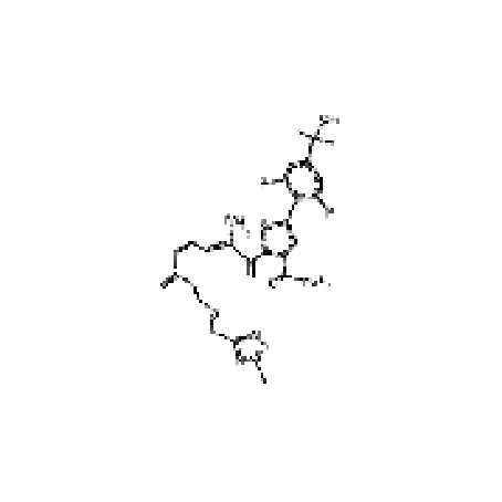 C=C(/C=C\C=C(/N)Nc1sc(-c2c(F)cc(C(C)(C)O)cc2F)cc1C(N)=O)CCOCc1noc(C)n1